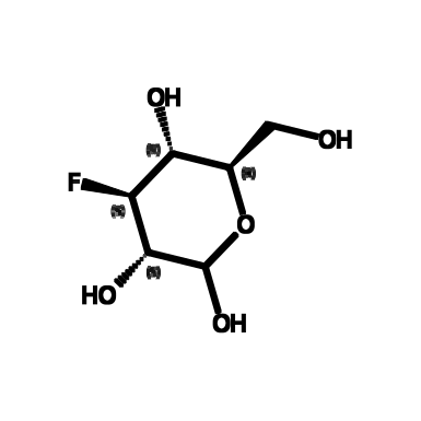 OC[C@H]1OC(O)[C@H](O)[C@@H](F)[C@@H]1O